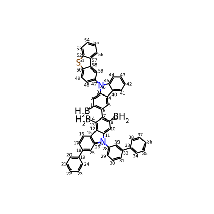 Bc1cc2c(cc1-c1c(B)cc3c(c1B)c1ccc(-c4ccccc4)cc1n3-c1cccc(-c3ccccc3)c1)c1ccccc1n2-c1ccc2sc3ccccc3c2c1